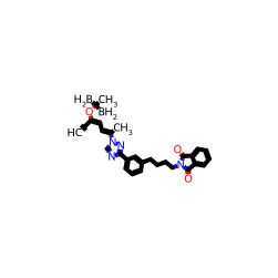 BC(B)(C)O/C(C#C)=C/C=C(\C)n1cnc(-c2cccc(CCCCN3C(=O)c4ccccc4C3=O)c2)n1